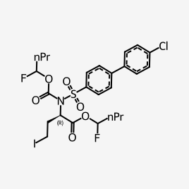 CCCC(F)OC(=O)[C@@H](CCI)N(C(=O)OC(F)CCC)S(=O)(=O)c1ccc(-c2ccc(Cl)cc2)cc1